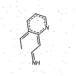 C/C=c1/cccn/c1=C/C=N